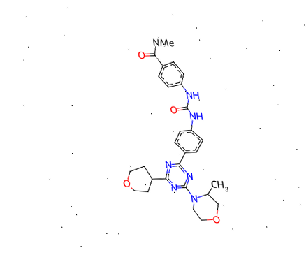 CNC(=O)c1ccc(NC(=O)Nc2ccc(-c3nc(C4CCOCC4)nc(N4CCOCC4C)n3)cc2)cc1